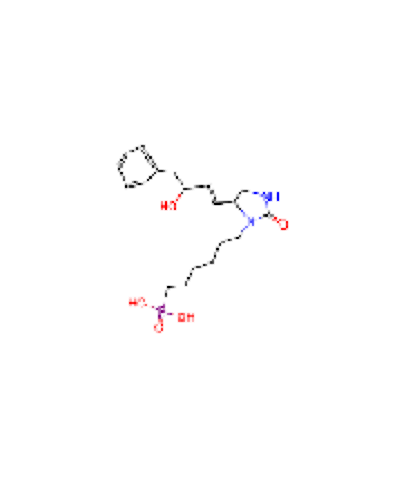 O=C1NC[C@H](C=CC(O)Cc2ccccc2)N1CCCCCCP(=O)(O)O